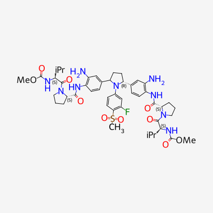 COC(=O)N[C@H](C(=O)N1CCC[C@H]1C(=O)Nc1ccc(C2CC[C@H](c3ccc(NC(=O)[C@@H]4CCCN4C(=O)[C@@H](NC(=O)OC)C(C)C)c(N)c3)N2c2ccc(S(C)(=O)=O)c(F)c2)cc1N)C(C)C